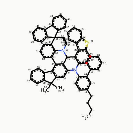 CCCCc1ccc(N2c3cc4c(c5c3C(c3c2ccc2sc6ccccc6c32)N2c3ccccc3C3(c6ccccc6-c6ccccc63)c3cccc-5c32)-c2ccccc2C4(C)C)c(-c2ccccc2)c1